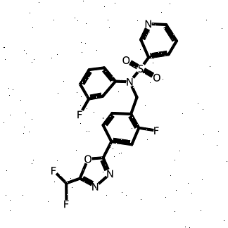 O=S(=O)(c1cccnc1)N(Cc1ccc(-c2nnc(C(F)F)o2)cc1F)c1cccc(F)c1